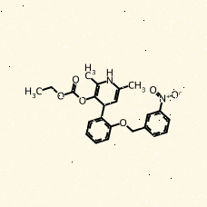 CCOC(=O)OC1=C(C)NC(C)=CC1c1ccccc1OCc1cccc([N+](=O)[O-])c1